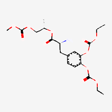 CCOC(=O)Oc1ccc(C[C@H](N)C(=O)O[C@@H](C)COC(=O)OC)cc1OC(=O)OCC